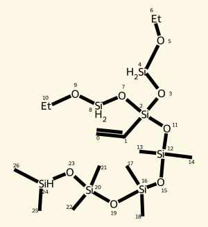 C=C[Si](O[SiH2]OCC)(O[SiH2]OCC)O[Si](C)(C)O[Si](C)(C)O[Si](C)(C)O[SiH](C)C